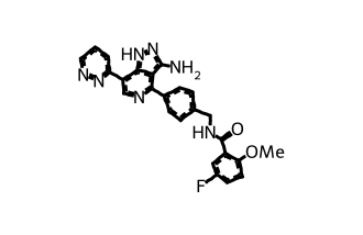 COc1ccc(F)cc1C(=O)NCc1ccc(-c2ncc(-c3cccnn3)c3[nH]nc(N)c23)cc1